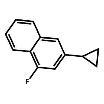 Fc1[c]c(C2CC2)cc2ccccc12